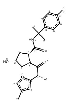 Cc1cc([C@@H](C)C(=O)N2C[C@H](O)C[C@H]2C(=O)NC(C)(C)c2ccc(Cl)cc2)on1